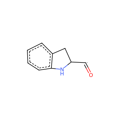 O=[C]C1Cc2ccccc2N1